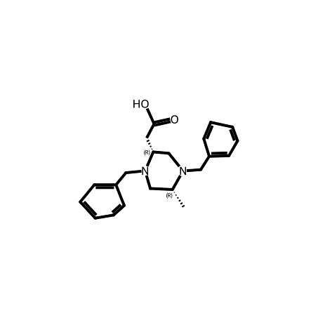 C[C@@H]1CN(Cc2ccccc2)[C@H](CC(=O)O)CN1Cc1ccccc1